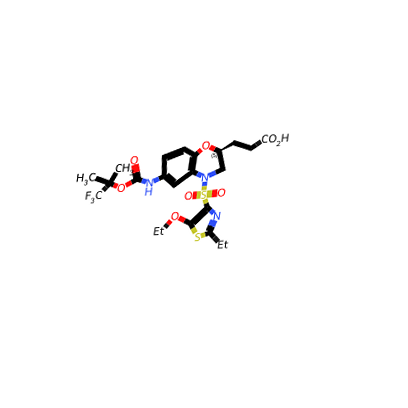 CCOc1sc(CC)nc1S(=O)(=O)N1C[C@H](CCC(=O)O)Oc2ccc(NC(=O)OC(C)(C)C(F)(F)F)cc21